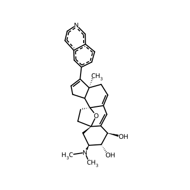 CN(C)[C@H]1C[C@@]23CC[C@@]4(O2)C(=CC[C@]2(C)C(c5ccc6cnccc6c5)=CCC24)C=C3[C@@H](O)[C@@H]1O